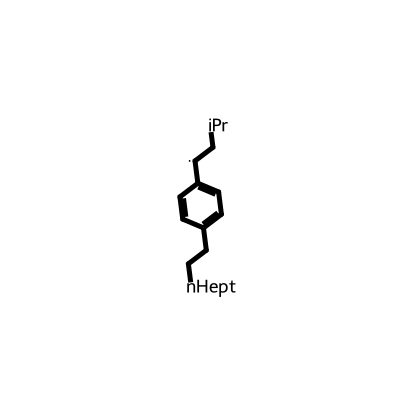 CCCCCCCCCc1ccc([CH]CC(C)C)cc1